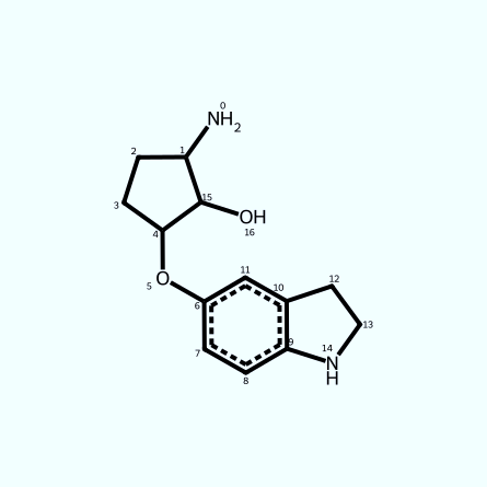 NC1CCC(Oc2ccc3c(c2)CCN3)C1O